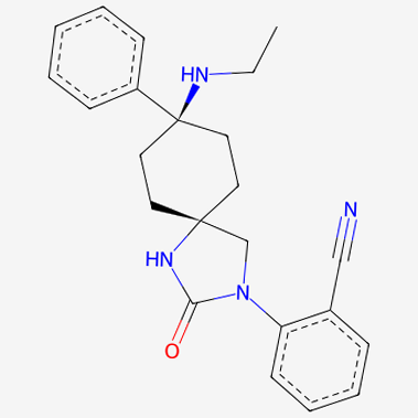 CCN[C@]1(c2ccccc2)CC[C@@]2(CC1)CN(c1ccccc1C#N)C(=O)N2